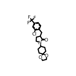 O=C1C(Cc2ccc(C(F)(F)F)cc2Cl)CCN1C1CCC2(CC1)OCCO2